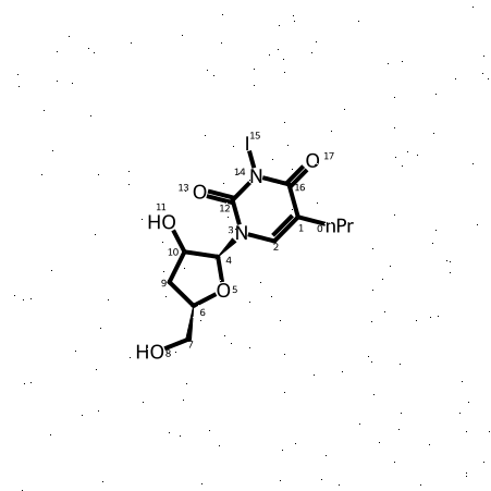 CCCc1cn([C@H]2O[C@@H](CO)CC2O)c(=O)n(I)c1=O